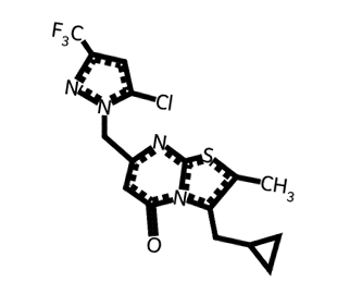 Cc1sc2nc(Cn3nc(C(F)(F)F)cc3Cl)cc(=O)n2c1CC1CC1